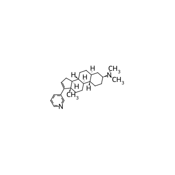 CN(C)[C@H]1CC[C@H]2[C@@H](CC[C@@H]3[C@@H]2CC[C@]2(C)C(c4cccnc4)=CC[C@@H]32)C1